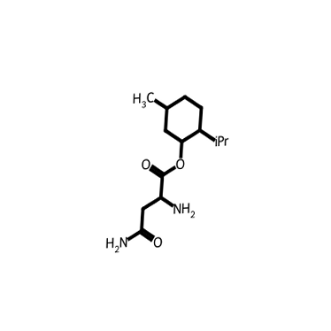 CC1CCC(C(C)C)C(OC(=O)C(N)CC(N)=O)C1